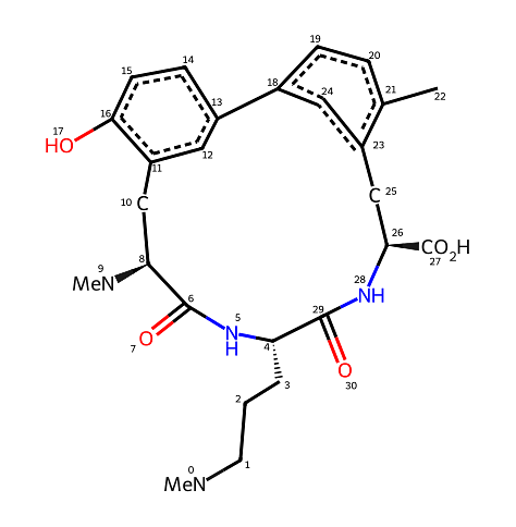 CNCCC[C@@H]1NC(=O)[C@@H](NC)Cc2cc(ccc2O)-c2ccc(C)c(c2)C[C@@H](C(=O)O)NC1=O